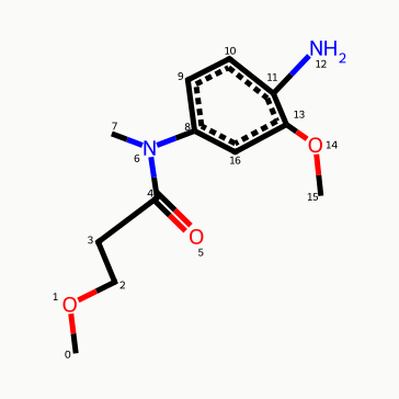 COCCC(=O)N(C)c1ccc(N)c(OC)c1